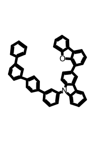 c1ccc(-c2cccc(-c3ccc(-c4cccc(-n5c6ccccc6c6cc(-c7cccc8c7oc7ccccc78)ccc65)c4)cc3)c2)cc1